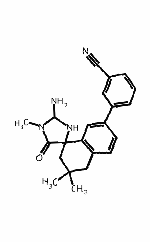 CN1C(=O)C2(CC(C)(C)Cc3ccc(-c4cccc(C#N)c4)cc32)NC1N